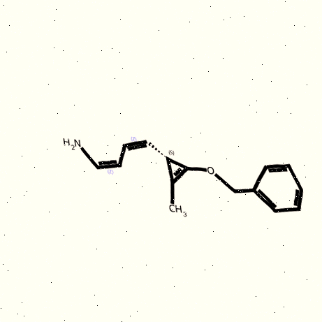 CC1=C(OCc2ccccc2)[C@H]1/C=C\C=C/N